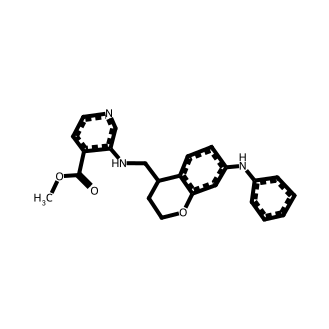 COC(=O)c1ccncc1NCC1CCOc2cc(Nc3ccccc3)ccc21